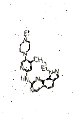 CCN1CCN(c2cnc(Nc3ncc4ccc5cnn(CC)c5c4n3)cc2C)CC1